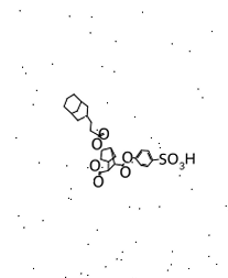 O=C(CCC1CC2CCCC(C2)C1)OC1C2CC3C1OC(=O)C3C2C(=O)Oc1ccc(S(=O)(=O)O)cc1